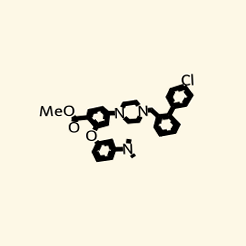 COC(=O)c1ccc(N2CCN(Cc3ccccc3-c3ccc(Cl)cc3)CC2)cc1Oc1cccc(N(C)C)c1